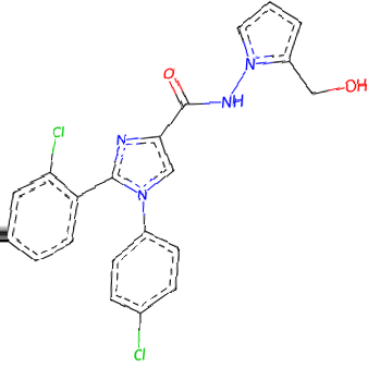 O=C(Nn1cccc1CO)c1cn(-c2ccc(Cl)cc2)c(-c2ccccc2Cl)n1